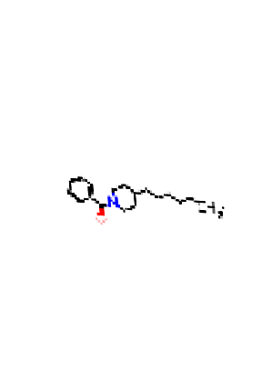 [CH2]CCCCCC1CCN(C(=O)c2ccccc2)CC1